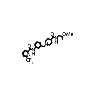 COC(C)CNC(=O)C1CCN(Cc2cccc(NC(=O)c3cccc(C(F)(F)F)n3)c2)CC1